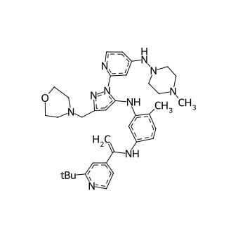 C=C(Nc1ccc(C)c(Nc2cc(CN3CCOCC3)nn2-c2cc(NN3CCN(C)CC3)ccn2)c1)c1ccnc(C(C)(C)C)c1